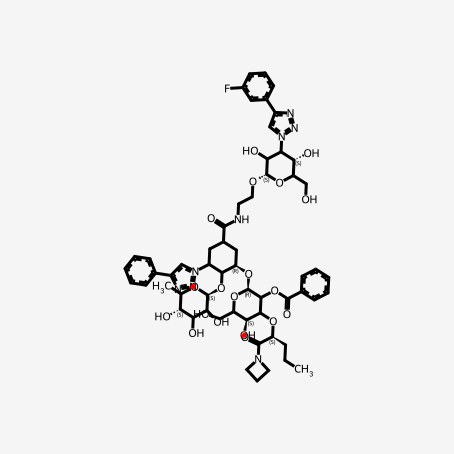 CCC[C@H](OC1C(OC(=O)c2ccccc2)[C@H](O[C@@H]2CC(C(=O)NCCO[C@H]3OC(CO)[C@@H](O)C(n4cc(-c5cccc(F)c5)nn4)C3O)CC(n3cc(-c4ccccc4)nn3)C2O[C@@H]2OC(C)[C@@H](O)C(O)C2O)OC(CO)[C@@H]1O)C(=O)N1CCC1